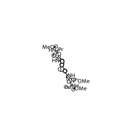 CC[C@H](C)[C@H](NC(=O)OC)C(=O)N1C[C@@H](COC)CC1c1ncc(-c2ccc3c(c2)COc2cc4c(ccc5nc(C6CC[C@H](C)N6C(=O)[C@@H](NC(=O)OC)C(C)C)[nH]c54)cc2-3)[nH]1